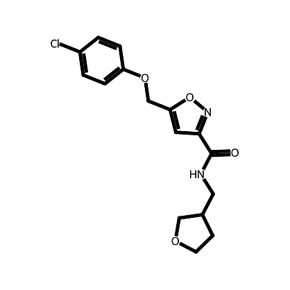 O=C(NCC1CCOC1)c1cc(COc2ccc(Cl)cc2)on1